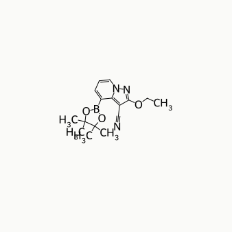 CCOc1nn2cccc(B3OC(C)(C)C(C)(C)O3)c2c1C#N